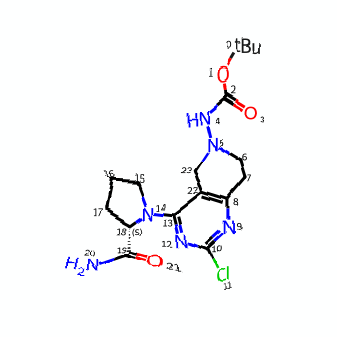 CC(C)(C)OC(=O)NN1CCc2nc(Cl)nc(N3CCC[C@H]3C(N)=O)c2C1